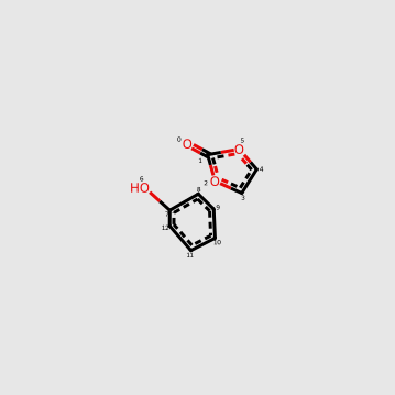 O=c1occo1.Oc1ccccc1